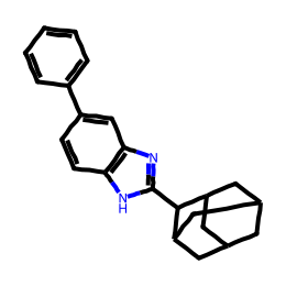 c1ccc(-c2ccc3[nH]c(C4C5CC6CC(C5)CC4C6)nc3c2)cc1